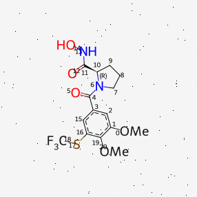 COc1cc(C(=O)N2CCC[C@@H]2C(=O)NO)cc(SC(F)(F)F)c1OC